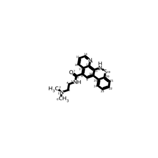 CN(C)CCNC(=O)c1cc2c(c3ncccc13)NSc1ccccc1-2